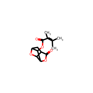 CC(C)=C(C)C(=O)OC1C2CC3C(=O)OC1C3O2